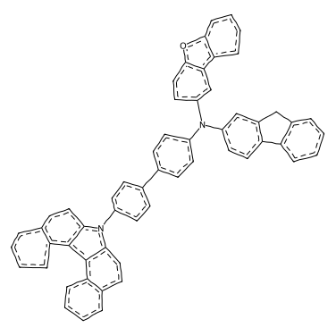 c1ccc2c(c1)Cc1cc(N(c3ccc(-c4ccc(-n5c6ccc7ccccc7c6c6c7ccccc7ccc65)cc4)cc3)c3ccc4oc5ccccc5c4c3)ccc1-2